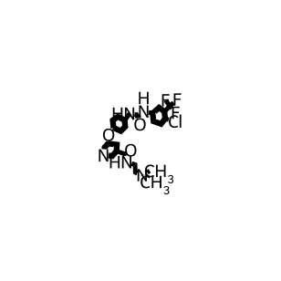 CN(C)CCNC(=O)c1cncc(Oc2ccc(NC(=O)Nc3ccc(Cl)c(C(F)(F)F)c3)cc2)c1